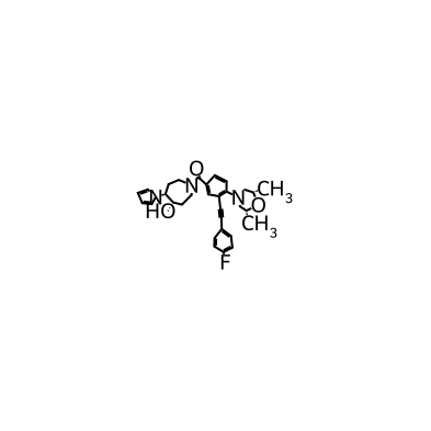 C[C@@H]1CN(c2ccc(C(=O)N3CC[C@H](O)[C@@H](n4cccc4)CC3)cc2C#Cc2ccc(F)cc2)C[C@H](C)O1